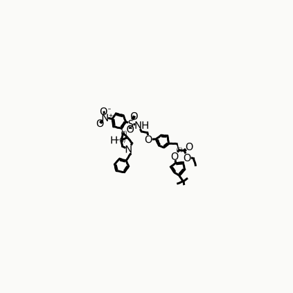 CCOC(=O)[C@H](Cc1ccc(OCCNS(=O)(=O)c2ccc([N+](=O)[O-])cc2[C@@H]2C3CN(Cc4ccccc4)C[C@H]32)cc1)Oc1ccc(C(C)(C)C)cc1